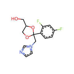 OCC1COC(Cn2ccnc2)(c2ccc(F)cc2F)O1